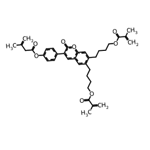 C=C(C)CC(=O)Oc1ccc(-c2cc3cc(CCCCOC(=O)C(=C)C)c(CCCCOC(=O)C(=C)C)cc3oc2=O)cc1